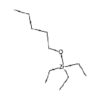 CCCCC[O][Zr]([CH2]C)([CH2]C)[CH2]C